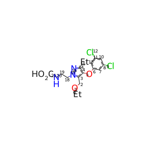 CCOCc1c(Oc2cc(Cl)cc(Cl)c2)c(CC)nn1CCNC(=O)O